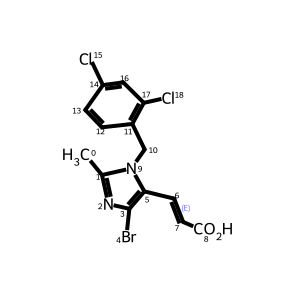 Cc1nc(Br)c(/C=C/C(=O)O)n1Cc1ccc(Cl)cc1Cl